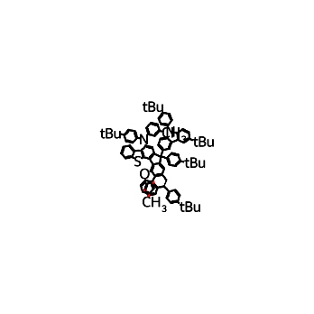 Cc1cccc([C@@H](Cc2cc3c(c4oc5ccccc5c24)-c2c(cc(N(c4ccc(C(C)(C)C)cc4)c4cccc(C)c4)c4c2sc2ccccc24)C3(c2ccc(C(C)(C)C)cc2)c2ccc3c(c2)c2cc(C(C)(C)C)ccc2n3-c2ccc(C(C)(C)C)cc2)c2ccc(C(C)(C)C)cc2)c1